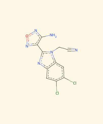 N#CCn1c(-c2nonc2N)nc2cc(Cl)c(Cl)cc21